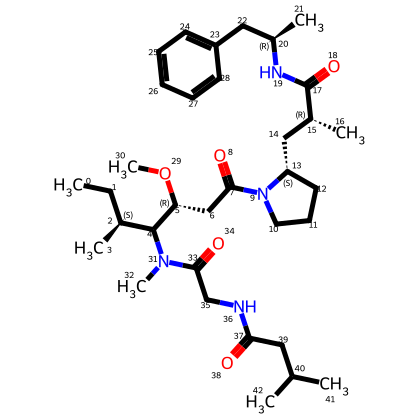 CC[C@H](C)C([C@@H](CC(=O)N1CCC[C@H]1C[C@@H](C)C(=O)N[C@H](C)Cc1ccccc1)OC)N(C)C(=O)CNC(=O)CC(C)C